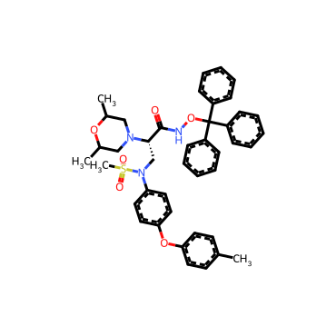 Cc1ccc(Oc2ccc(N(C[C@@H](C(=O)NOC(c3ccccc3)(c3ccccc3)c3ccccc3)N3CC(C)OC(C)C3)S(C)(=O)=O)cc2)cc1